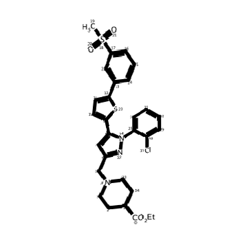 CCOC(=O)C1CCN(Cc2cc(-c3ccc(-c4cccc(S(C)(=O)=O)c4)s3)n(-c3ccccc3Cl)n2)CC1